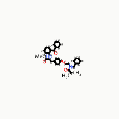 C=C(C)C(=O)N(CCOc1ccc(CC(Nc2ccccc2C(=O)c2ccccc2)C(=O)OC)cc1)Cc1ccccc1